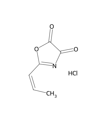 C/C=C\C1=NC(=O)C(=O)O1.Cl